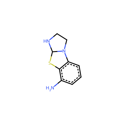 Nc1cccc2c1SC1NCCN21